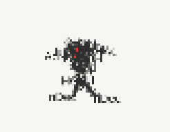 CCCCCCCCCCCCC/C=C/[C@@H](O)[C@H](CO[C@@H]1OC(CO)[C@@H](O[C@@H]2OC(CO)[C@H](O[C@@H]3OC(CO)[C@H](O)[C@H](O)C3NC(C)=O)[C@H](O[C@]3(C(=O)O)CC(O)[C@@H](NC(C)=O)C([C@H](O)[C@H](O)CO)O3)C2O)[C@H](O)C1O)NC(=O)CCCCCCCCCCCCCCCCC